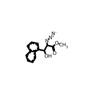 COC(=O)C(N=[N+]=[N-])C(O)c1cccc2ccccc12